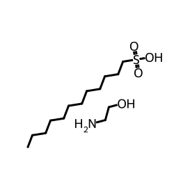 CCCCCCCCCCCCS(=O)(=O)O.NCCO